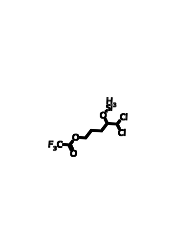 O=C(OCCCC(O[SiH3])C(Cl)Cl)C(F)(F)F